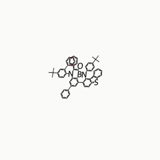 CC(C)(C)c1ccc(N2B3c4oc5ccccc5c4N(c4ccc(C(C)(C)C)cc4-c4ccccc4)c4cc(-c5ccccc5)cc(c43)-c3ccc4sc5ccccc5c4c32)cc1